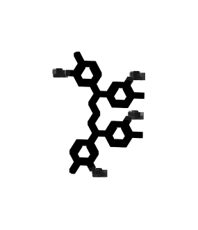 Cc1ccc(C(CCCC(c2ccc(C)c(C(C)(C)C)c2)c2ccc(C)c(C(C)(C)C)c2)c2ccc(C)c(C(C)(C)C)c2)cc1C(C)(C)C